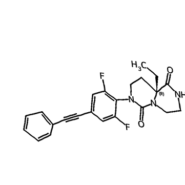 CC[C@]12CCN(c3c(F)cc(C#Cc4ccccc4)cc3F)C(=O)N1CCNC2=O